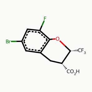 O=C(O)[C@@H]1Cc2cc(Br)cc(F)c2O[C@@H]1C(F)(F)F